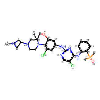 CC(=O)N1CC(N2CCN3c4c(Cl)cc(Nc5ncc(Cl)c(Nc6ccccc6P(C)(C)=O)n5)cc4OC[C@H]3C2)C1